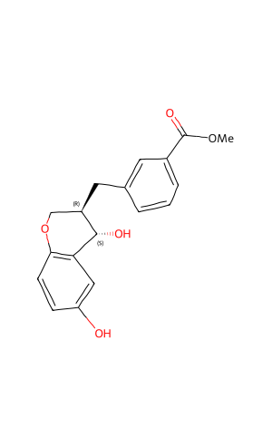 COC(=O)c1cccc(C[C@@H]2COc3ccc(O)cc3[C@H]2O)c1